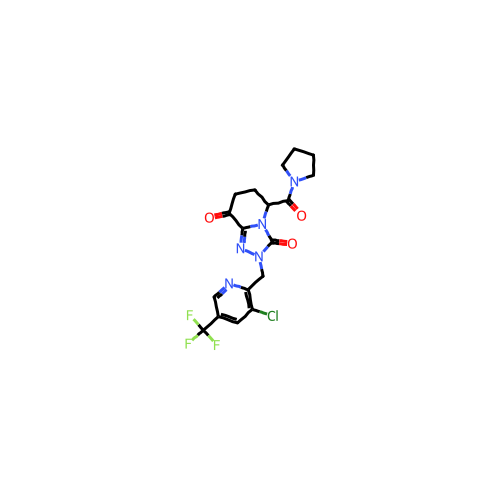 O=C1CCC(C(=O)N2CCCC2)n2c1nn(Cc1ncc(C(F)(F)F)cc1Cl)c2=O